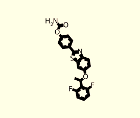 CC(Oc1ccc2nc(-c3ccc(OC(N)=O)cc3)sc2c1)c1c(F)cccc1F